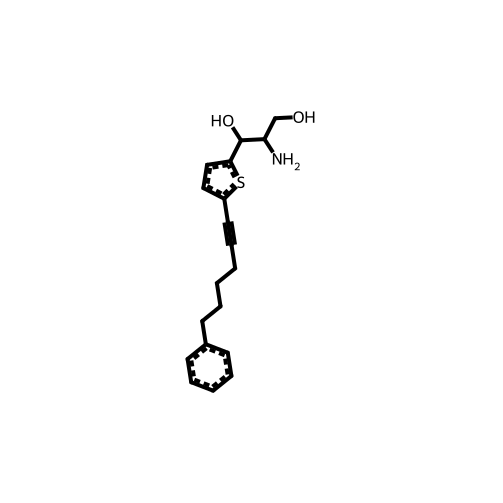 NC(CO)C(O)c1ccc(C#CCCCCc2ccccc2)s1